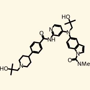 CNC(=O)n1ccc2cc(N(CC(C)(C)O)c3ccnc(NC(=O)c4ccc(C5CCN(CC(C)(C)O)CC5)cc4)c3)ccc21